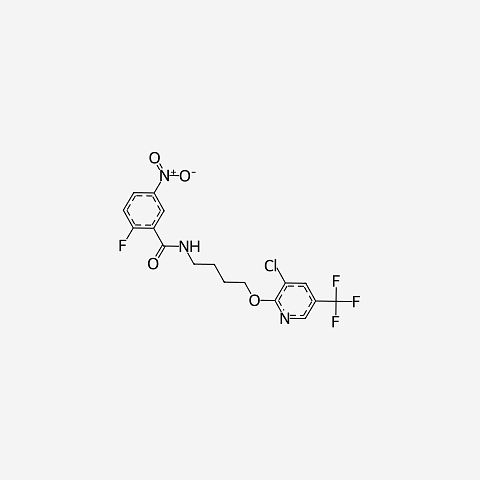 O=C(NCCCCOc1ncc(C(F)(F)F)cc1Cl)c1cc([N+](=O)[O-])ccc1F